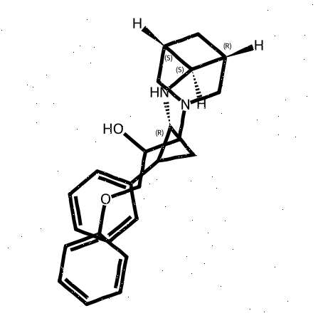 OC(COc1ccccc1)CN1C[C@H]2C[C@@H](C1)[C@@H]2N[C@@H]1CC1c1ccccc1